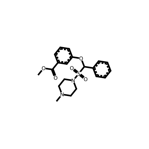 COC(=O)c1cccc(OC(c2ccccc2)S(=O)(=O)N2CCN(C)CC2)c1